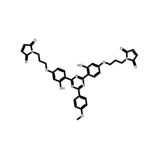 COc1ccc(-c2nc(-c3ccc(OCCCN4C(=O)C=CC4=O)cc3O)nc(-c3ccc(OCCCN4C(=O)C=CC4=O)cc3O)n2)cc1